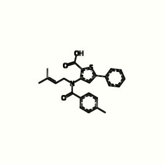 CC(C)=CCN(C(=O)c1ccc(C)cc1)c1cc(-c2ccccc2)sc1C(=O)O